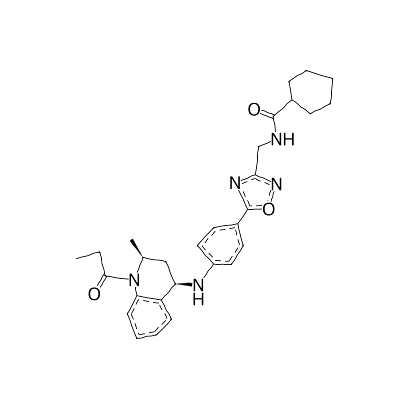 CCC(=O)N1c2ccccc2[C@H](Nc2ccc(-c3nc(CNC(=O)C4CCCCC4)no3)cc2)C[C@@H]1C